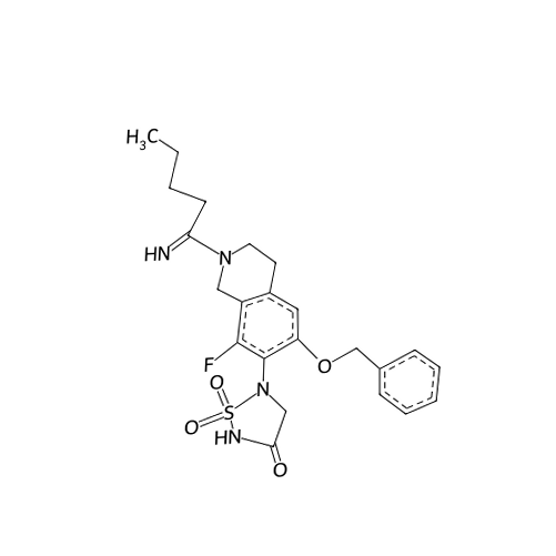 CCCCC(=N)N1CCc2cc(OCc3ccccc3)c(N3CC(=O)NS3(=O)=O)c(F)c2C1